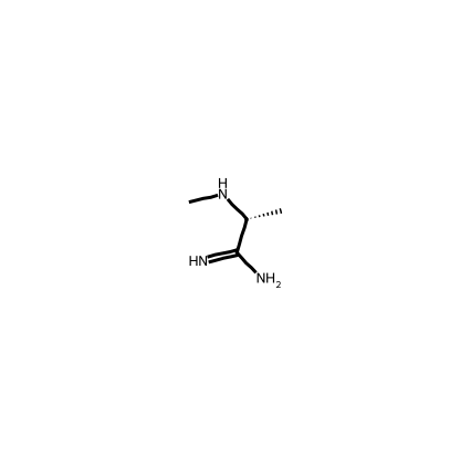 CN[C@H](C)C(=N)N